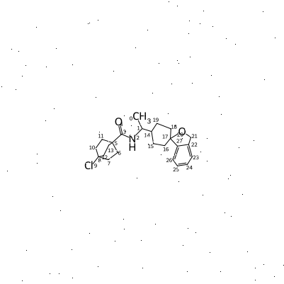 CC(NC(=O)C12CCC(Cl)(CC1)CC2)C1CCC2(CC1)OCc1ccccc12